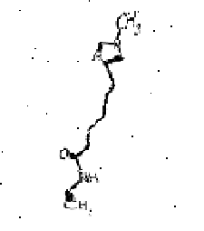 C=CNC(=O)CCCCCc1cn(C)cn1